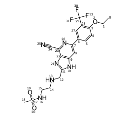 CCOc1ccc(-c2cc3[nH]c(CNCCNS(C)(=O)=O)nc3c(C#N)n2)cc1C(F)(F)F